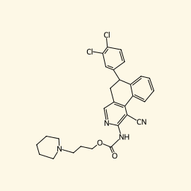 N#Cc1c(NC(=O)OCCCN2CCCCC2)ncc2c1-c1ccccc1C(c1ccc(Cl)c(Cl)c1)C2